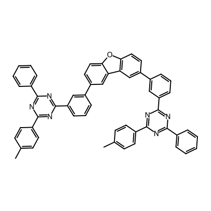 Cc1ccc(-c2nc(-c3ccccc3)nc(-c3cccc(-c4ccc5oc6ccc(-c7cccc(-c8nc(-c9ccccc9)nc(-c9ccc(C)cc9)n8)c7)cc6c5c4)c3)n2)cc1